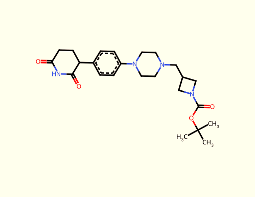 CC(C)(C)OC(=O)N1CC(CN2CCN(c3ccc(C4CCC(=O)NC4=O)cc3)CC2)C1